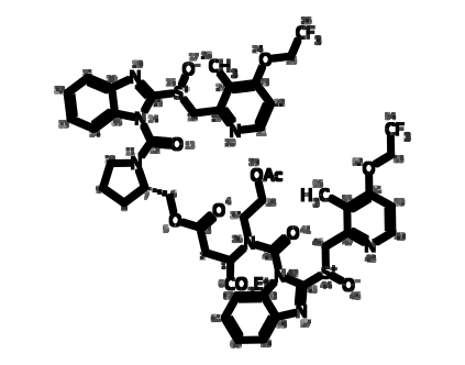 CCOC(=O)C(CC(=O)OC[C@@H]1CCCN1C(=O)n1c([S+]([O-])Cc2nccc(OCC(F)(F)F)c2C)nc2ccccc21)N(CCOC(C)=O)C(=O)n1c([S+]([O-])Cc2nccc(OCC(F)(F)F)c2C)nc2ccccc21